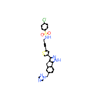 O=S(=O)(NCC#Cc1cc(-c2n[nH]c3c2Cc2cc(Cn4cncn4)ccc2-3)cs1)c1ccc(Cl)cc1